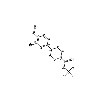 CC(C)(C)OC(=O)N1CCC(c2ccc(C=O)c(O)c2)CC1